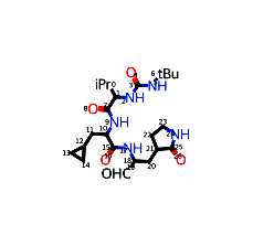 CC(C)C(NC(=O)NC(C)(C)C)C(=O)NC(CC1CC1)C(=O)NC(C=O)CC1CCNC1=O